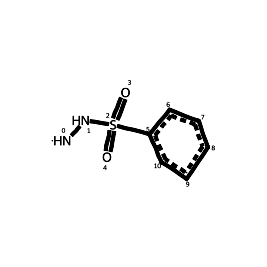 [NH]NS(=O)(=O)c1ccccc1